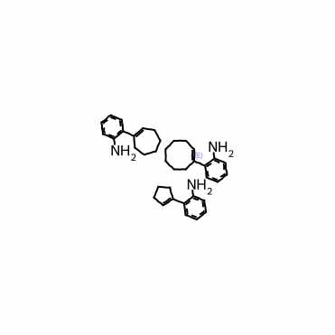 Nc1ccccc1/C1=C/CCCCCC1.Nc1ccccc1C1=CCCC1.Nc1ccccc1C1=CCCCCC1